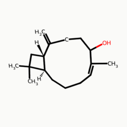 C=C1CCC(O)/C(C)=C\CCC[C@@H]2[C@@H]1CC2(C)C